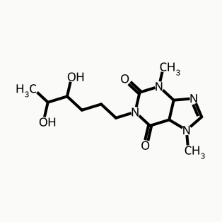 CC(O)C(O)CCCN1C(=O)C2C(N=CN2C)N(C)C1=O